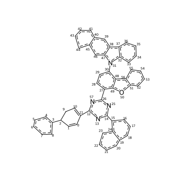 C1=CC(c2ccccc2)CC=C1c1nc(-c2cccc3ccccc23)nc(-c2ccc(-n3c4ccccc4c4cc5ccccc5cc43)c3c2oc2ccccc23)n1